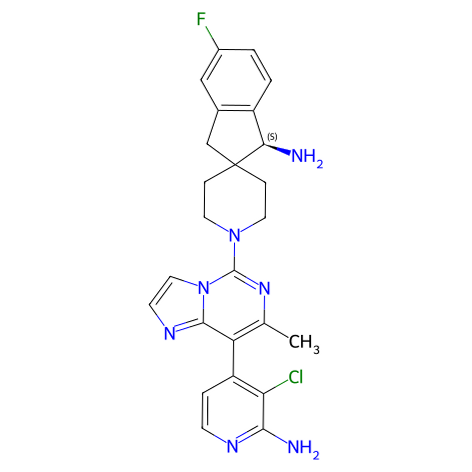 Cc1nc(N2CCC3(CC2)Cc2cc(F)ccc2[C@H]3N)n2ccnc2c1-c1ccnc(N)c1Cl